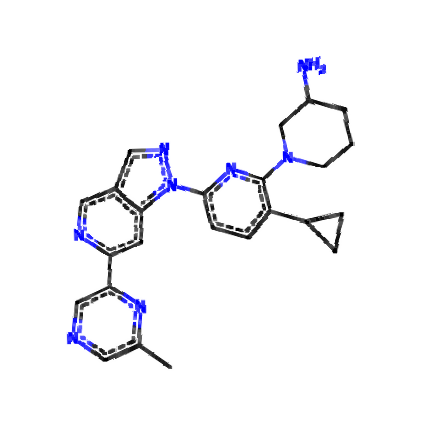 Cc1cncc(-c2cc3c(cn2)cnn3-c2ccc(C3CC3)c(N3CCCC(N)C3)n2)n1